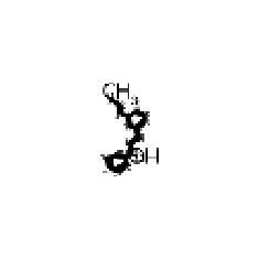 CCCCc1cccc(CC[C@@H](O)c2ccccc2)c1